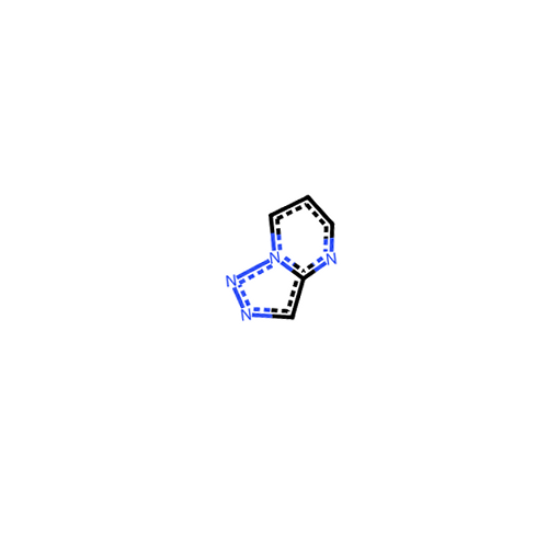 c1cnc2cnnn2c1